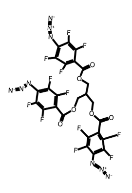 [N-]=[N+]=Nc1c(F)c(F)c(C(=O)OCC(COC(=O)c2c(F)c(F)c(N=[N+]=[N-])c(F)c2F)COC(=O)c2c(F)c(F)c(N=[N+]=[N-])c(F)c2F)c(F)c1F